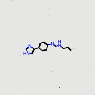 C=CCN/C=N/c1ccc(-c2c[nH]cn2)cc1